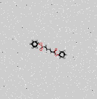 O=C(CCCCC(=O)Oc1ccccc1)Oc1ccccc1